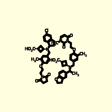 Cc1cc(CN(C(C)c2ccc3c(c2)CCO3)[C@H]2C[C@@H](C(=O)O)C2)ccc1OCCn1c(=O)ccn(C)c1=O.Cc1cc(CN(C2CCc3cc(Cl)ccc32)[C@H]2C[C@@H](C(=O)O)C2)ccc1OCCN1C(=O)CCC1=O